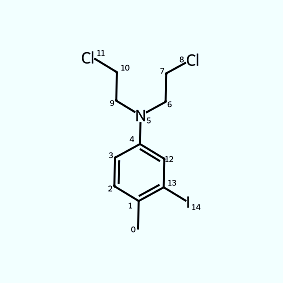 Cc1ccc(N(CCCl)CCCl)cc1I